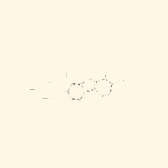 CC1COC(c2ccc3c(sc4c(F)c(OC(F)(F)F)ccc43)c2F)OC1